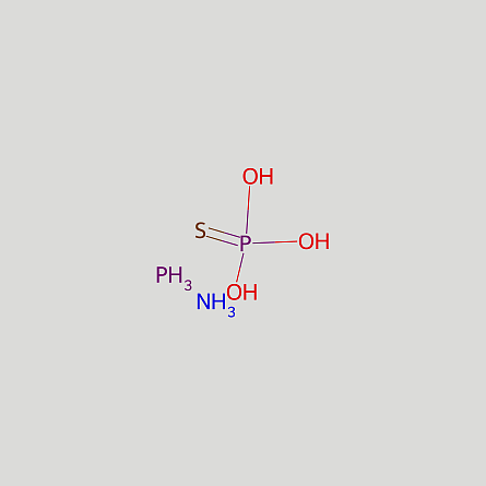 N.OP(O)(O)=S.P